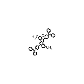 Cc1ccc2c(-c3ccc(N(c4ccccc4)c4ccccc4)cc3)cc3c4cc(C)cc5c4c(cc3c2c1)-c1ccc(N(c2ccccc2)c2ccccc2)cc1O5